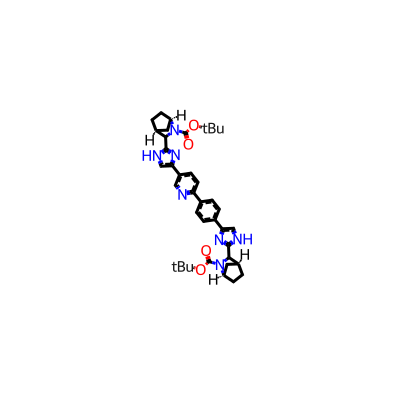 CC(C)(C)OC(=O)N1C(c2nc(-c3ccc(-c4ccc(-c5c[nH]c(C6[C@H]7CC[C@H](C7)N6C(=O)OC(C)(C)C)n5)cn4)cc3)c[nH]2)[C@H]2CC[C@@H]1C2